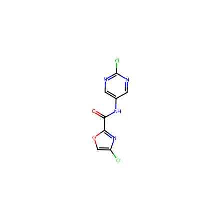 O=C(Nc1cnc(Cl)nc1)c1nc(Cl)co1